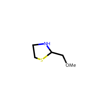 COCC1NCCS1